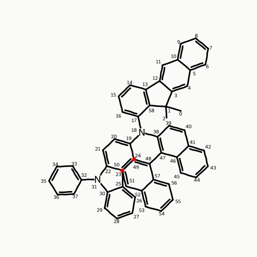 CC1(C)c2cc3ccccc3cc2-c2cccc(N(c3ccc4c(c3)c3ccccc3n4-c3ccccc3)c3ccc4ccccc4c3-c3cccc4ccccc34)c21